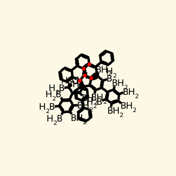 B=C(B)/C(=C(/B)c1c(C)n(-c2ccccc2-c2ccccc2N(c2ccc(-c3ccccc3)cc2)c2ccc(-c3ccccc3)cc2)c2c(B)c(B)c(-c3c(B)c(B)c(B)c(B)c3B)c(B)c12)c1c(B)c(B)c(B)c(B)c1B